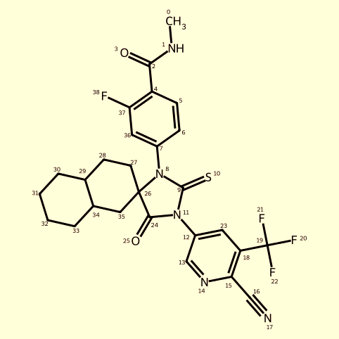 CNC(=O)c1ccc(N2C(=S)N(c3cnc(C#N)c(C(F)(F)F)c3)C(=O)C23CCC2CCCCC2C3)cc1F